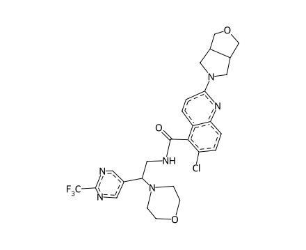 O=C(NCC(c1cnc(C(F)(F)F)nc1)N1CCOCC1)c1c(Cl)ccc2nc(N3CC4COCC4C3)ccc12